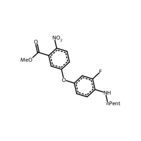 CCCCCNc1ccc(Oc2ccc([N+](=O)[O-])c(C(=O)OC)c2)cc1F